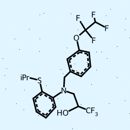 CC(C)Sc1ccccc1N(Cc1cccc(OC(F)(F)C(F)F)c1)CC(O)C(F)(F)F